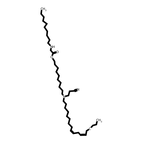 CCCCC/C=C\C/C=C\CCCCCCCCN(CCC#N)CCCCCCCCCCOC(=O)CNCCCCCCCCCC